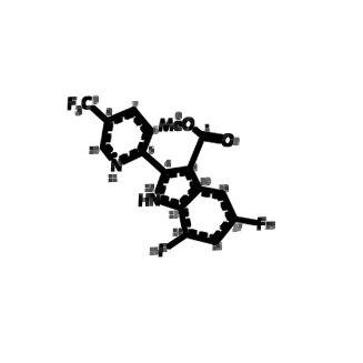 COC(=O)c1c(-c2ccc(C(F)(F)F)cn2)[nH]c2c(F)cc(F)cc12